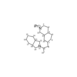 CC(C)N1CCC2CCC(CC(C)N3CC4CCCCC4C3)CC2C1